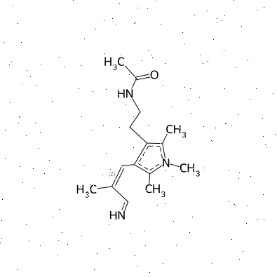 CC(=O)NCCc1c(/C=C(/C)C=N)c(C)n(C)c1C